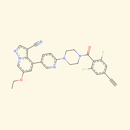 C#Cc1cc(F)c(C(=O)N2CCN(c3ccc(-c4cc(OCC)cn5ncc(C#N)c45)cn3)CC2)c(F)c1